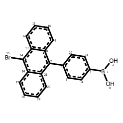 OB(O)c1ccc(-c2c3ccccc3c(Br)c3ccccc23)cc1